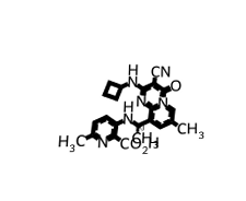 Cc1cc([C@@H](C)Nc2ccc(C)nc2C(=O)O)c2nc(NC3CCC3)c(C#N)c(=O)n2c1